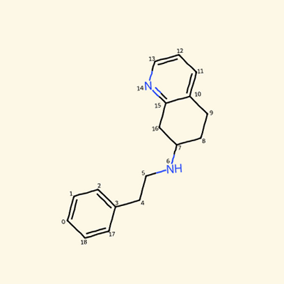 c1ccc(CCNC2CCc3cccnc3C2)cc1